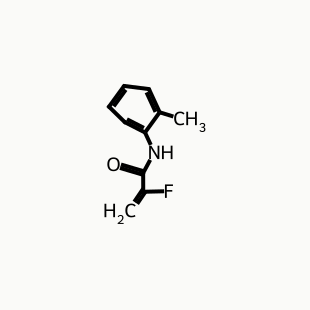 C=C(F)C(=O)Nc1ccccc1C